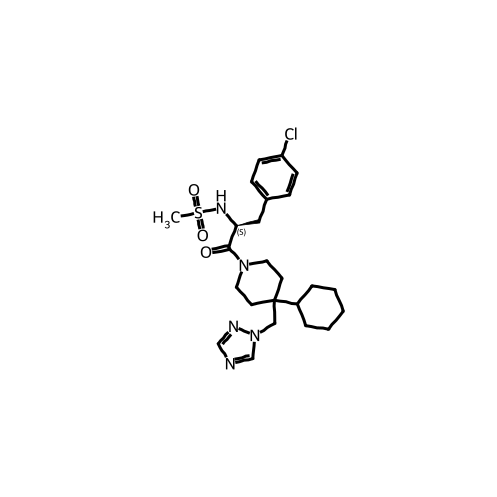 CS(=O)(=O)N[C@@H](Cc1ccc(Cl)cc1)C(=O)N1CCC(Cn2cncn2)(C2CCCCC2)CC1